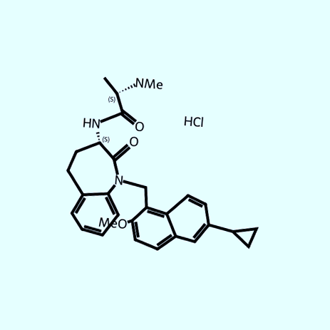 CN[C@@H](C)C(=O)N[C@H]1CCc2ccccc2N(Cc2c(OC)ccc3cc(C4CC4)ccc23)C1=O.Cl